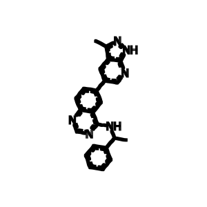 Cc1n[nH]c2ncc(-c3ccc4ncnc(NC(C)c5ccccc5)c4c3)cc12